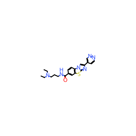 CCN(CC)CCCNC(=O)c1ccc2c(c1)sc1nc(-c3ccnnc3)cn12